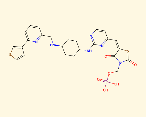 O=C1SC(=Cc2ccnc(N[C@H]3CC[C@H](NCc4cccc(-c5ccsc5)n4)CC3)n2)C(=O)N1COP(=O)(O)O